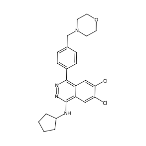 Clc1cc2c(NC3CCCC3)nnc(-c3ccc(CN4CCOCC4)cc3)c2cc1Cl